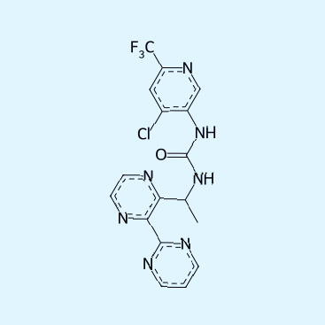 CC(NC(=O)Nc1cnc(C(F)(F)F)cc1Cl)c1nccnc1-c1ncccn1